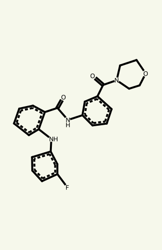 O=C(Nc1cccc(C(=O)N2CCOCC2)c1)c1ccccc1Nc1cccc(F)c1